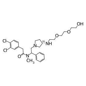 CN(C(=O)Cc1ccc(Cl)c(Cl)c1)C(CN1CC[C@H](NCCOCCOCCO)C1)c1ccccc1